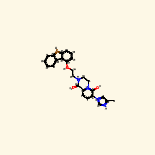 Cc1cn(-c2ccc3n(c2=O)CCN(CCOc2cccc4sc5ccccc5c24)C3=O)cn1